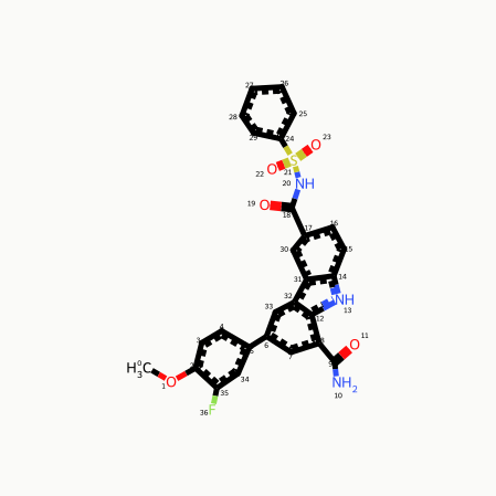 COc1ccc(-c2cc(C(N)=O)c3[nH]c4ccc(C(=O)NS(=O)(=O)c5ccccc5)cc4c3c2)cc1F